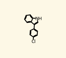 Clc1ccc(-c2c[nH]c3ccccc23)cc1